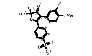 COc1ccc(C2=C(c3ccc(S(C)(=O)=O)cc3)OC(C)(C)C2=O)cc1F